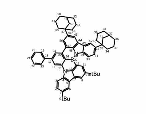 CC(C)(C)c1ccc2c(c1)c1cc(C(C)(C)C)cc3c1n2-c1cc(-c2ccccc2)cc2c1B3n1c3ccc(C45CCCC(CCC4)C5)cc3c3cc(C45CCCC(CCC4)C5)cc-2c31